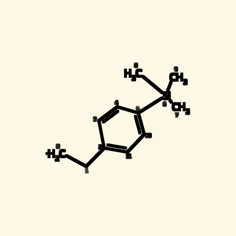 [CH2]Cc1ccc([Si](C)(C)C)cc1